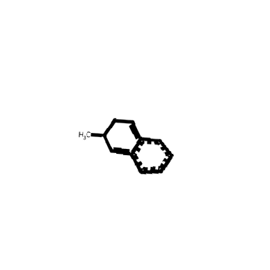 CC1C=c2ccccc2=CC1